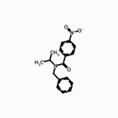 CC(C)N(Cc1ccccc1)C(=O)c1ccc([N+](=O)[O-])cc1